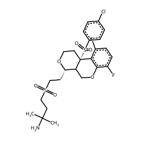 CC(C)(N)CCS(=O)(=O)CC[C@@H]1OCC[C@@]2(S(=O)(=O)c3ccc(Cl)cc3)c3c(F)ccc(F)c3OCC12